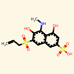 C=CCS(=O)(=O)c1cc2cc(S(=O)(=O)O)cc(O)c2c(NC)c1O